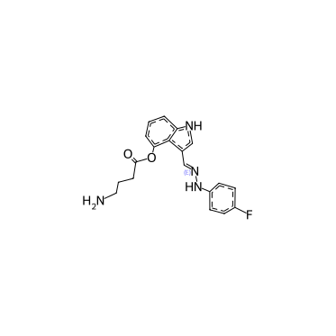 NCCCC(=O)Oc1cccc2[nH]cc(/C=N/Nc3ccc(F)cc3)c12